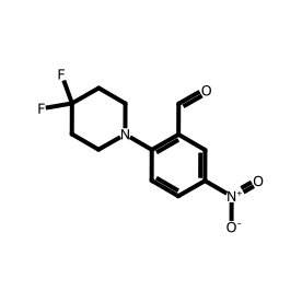 O=Cc1cc([N+](=O)[O-])ccc1N1CCC(F)(F)CC1